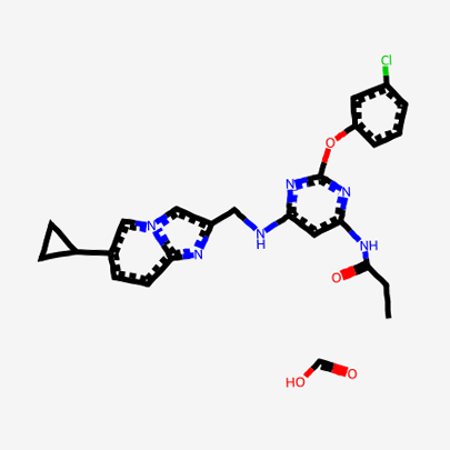 CCC(=O)Nc1cc(NCc2cn3cc(C4CC4)ccc3n2)nc(Oc2cccc(Cl)c2)n1.O=CO